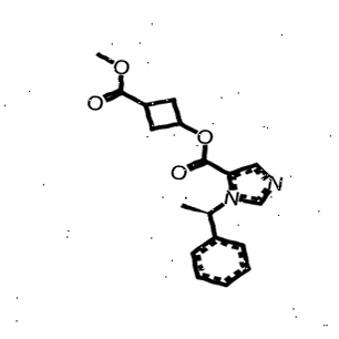 COC(=O)C1CC(OC(=O)c2cncn2[C@H](C)c2ccccc2)C1